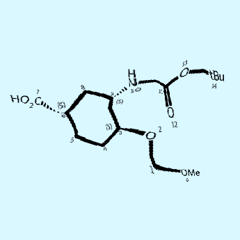 COCO[C@H]1CC[C@H](C(=O)O)C[C@@H]1NC(=O)OC(C)(C)C